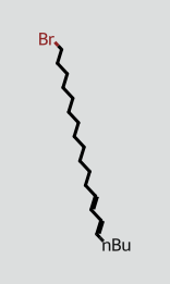 CCCC/C=C/C=C/CCCCCCCCCCCCBr